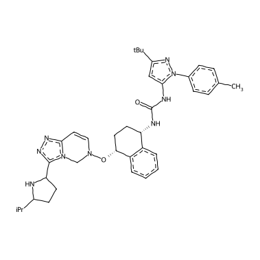 Cc1ccc(-n2nc(C(C)(C)C)cc2NC(=O)N[C@H]2CC[C@@H](ON3C=Cc4nnc(C5CCC(C(C)C)N5)n4C3)c3ccccc32)cc1